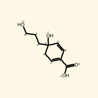 O=C(O)C1=CCC(O)(CCCO)C=C1